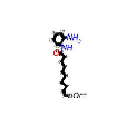 CCCCCCCC/C=C\CCCCCCCC(=O)Nc1ccccc1N